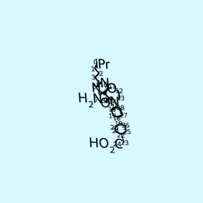 CC(C)CCCc1nc(N)c2c(n1)OCCN(C1=CCC([C@H]3CC[C@H](CC(=O)O)CC3)C=C1)C2=O